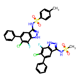 CS(=O)(=O)Nc1n[nH]c2c(F)c(Cl)c(-c3ccccc3)cc12.Cc1ccc(S(=O)(=O)Nc2n[nH]c3c(F)c(Cl)c(-c4ccccc4)cc23)cc1